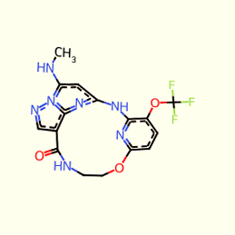 CNc1cc2nc3c(cnn13)C(=O)NCCOc1ccc(OC(F)(F)F)c(n1)N2